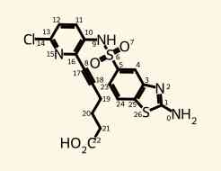 Nc1nc2cc(S(=O)(=O)Nc3ccc(Cl)nc3C#CCCCC(=O)O)ccc2s1